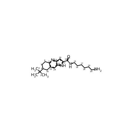 CC(C)(C)C1CCc2nc3cc(C(=O)NCCCCCCN)[nH]c3cc2C1